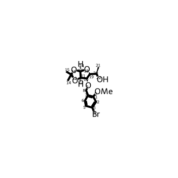 COc1cc(Br)ccc1CO[C@@H]1[C@H]2OC(C)(C)O[C@H]2O[C@@H]1[C@@H](C)O